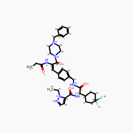 CCC(=O)N/C(=C/c1ccc(CNC(=O)[C@@H](NC(=O)c2ccnn2CC)C2CCC(F)(F)CC2)cc1)C(=O)N1CCN(Cc2ccccc2)CC1